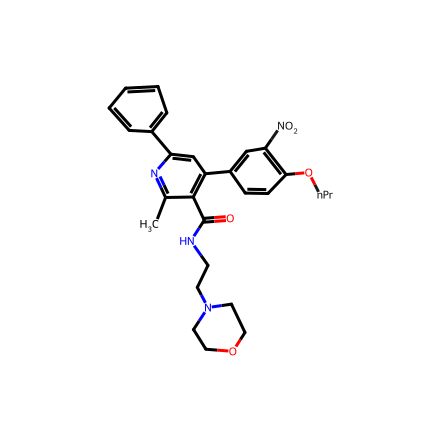 CCCOc1ccc(-c2cc(-c3ccccc3)nc(C)c2C(=O)NCCN2CCOCC2)cc1[N+](=O)[O-]